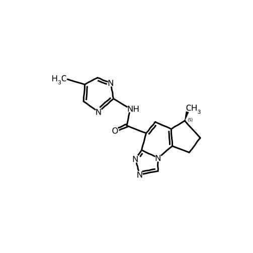 Cc1cnc(NC(=O)c2cc3c(n4cnnc24)CC[C@@H]3C)nc1